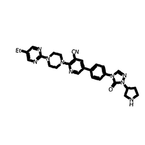 CCc1cnc(N2CCN(c3ncc(-c4ccc(-n5cnn(C6CCNC6)c5=O)cc4)cc3C#N)CC2)nc1